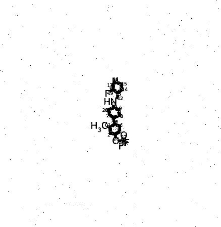 Cc1cc2c(cc1-c1ccc(NCc3ccncc3F)cc1)OC(F)(F)O2